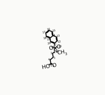 CN(CCCC(=O)O)S(=O)(=O)c1ccc2ccccc2c1